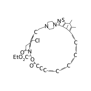 CCOC(=O)C1OC(=O)CCC/C=C\C/C=C\C/C=C\C/C=C\C/C=C\C2=C(C)C(C)c3snc(c3C2C)N2CCN(CCc3cc4c(cc3Cl)N1C(=O)C4)CC2